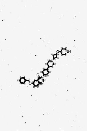 O=c1c2cc(OCc3ccccc3)ccc2ncn1-c1ccc(C2CCN(C3CC(OC4CCNCC4)C3)CC2)cc1